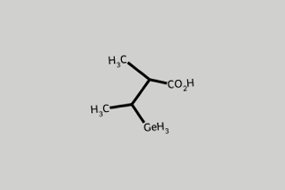 C[CH]([GeH3])C(C)C(=O)O